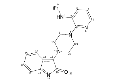 CC(C)Nc1cccnc1N1CCN(C2=c3ccccc3=NC2=O)CC1